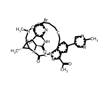 CC(=O)c1nn2c3c(cc(-c4cnc(C)nc4)cc13)CCCCCCCN(C)C[C@@]13C[C@@H](C(=O)Nc4nc(Br)ccc4C)N(C(=O)C2)C1[C@@H]3C